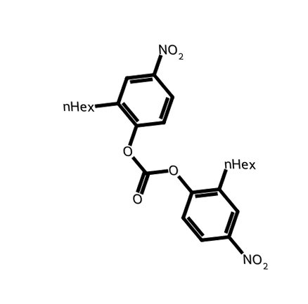 CCCCCCc1cc([N+](=O)[O-])ccc1OC(=O)Oc1ccc([N+](=O)[O-])cc1CCCCCC